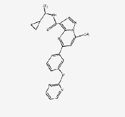 Cc1cc(-c2cccc(Oc3ncccn3)c2)nc2c(C(=O)NC(C3CC3)C(F)(F)F)cnn12